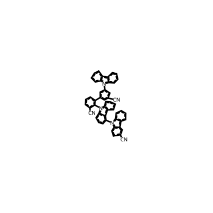 N#Cc1cc(-c2cccc(C#N)c2-n2c3ccccc3c3c(-n4c5ccccc5c5cc(C#N)ccc54)cccc32)cc(-n2c3ccccc3c3ccccc32)c1